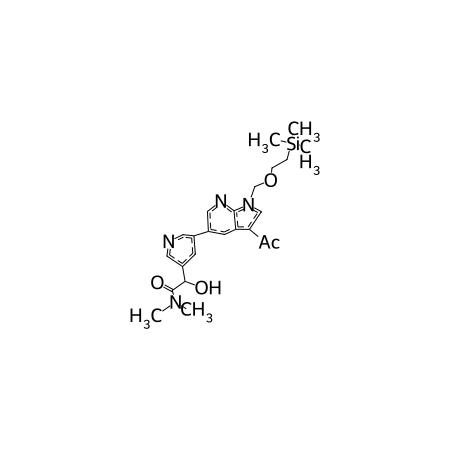 CC(=O)c1cn(COCC[Si](C)(C)C)c2ncc(-c3cncc(C(O)C(=O)N(C)C)c3)cc12